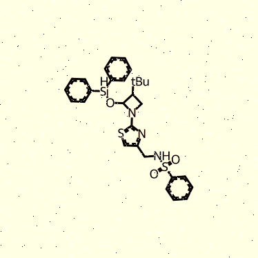 CC(C)(C)C1CN(c2nc(CNS(=O)(=O)c3ccccc3)cs2)C1O[SiH](c1ccccc1)c1ccccc1